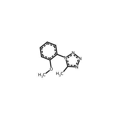 COc1ccccc1-n1nnnc1C